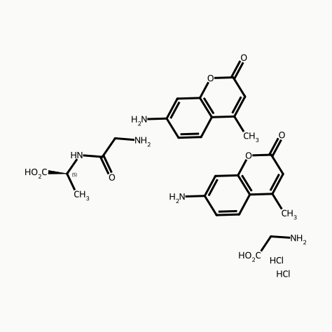 C[C@H](NC(=O)CN)C(=O)O.Cc1cc(=O)oc2cc(N)ccc12.Cc1cc(=O)oc2cc(N)ccc12.Cl.Cl.NCC(=O)O